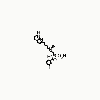 O=C(NC(CCN(CCCCc1ccc2c(n1)NCCC2)C1CC1)C(=O)O)c1cccc(F)c1